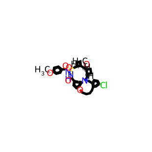 COc1ccc(C(=O)NS2(=O)=NC(=O)c3ccc4c(c3)N(Cc3ccc(Cl)cc3CCCCO4)C[C@@H]3CC[C@H]3[C@@H](OC)C3=CC[C@@H]3C2)cc1